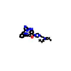 COc1cc(Nc2cncc(-c3cc4ccccc4[nH]3)n2)ccc1C(=O)N1CCN(CCCN(C)C)CC1